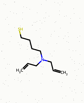 C=CCN(CC=C)CCCCS